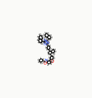 c1ccc(-c2nc3c(ccc4oc5ccc(-c6ccc(-c7ccc(-c8nc(-c9cccc%10ccccc9%10)nc(-c9cccc%10ccccc9%10)n8)cc7)c7ccccc67)cc5c43)o2)cc1